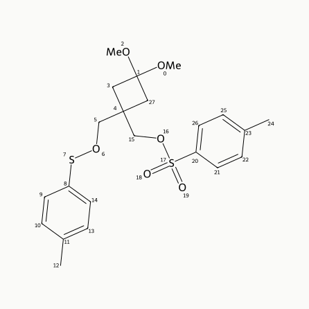 COC1(OC)CC(COSc2ccc(C)cc2)(COS(=O)(=O)c2ccc(C)cc2)C1